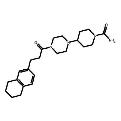 NC(=O)N1CCC(N2CCN(C(=O)[CH]Cc3ccc4c(c3)CCCC4)CC2)CC1